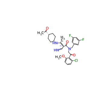 COc1cccc(Cl)c1C(=O)CN(Cc1cc(F)cc(F)c1)C(=O)/C(C=N)=C(\C)N[C@H]1CC[C@H](C(C)=O)CC1